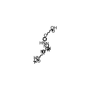 CC(C)(C)OC(=O)NCCCn1cc(-n2nnc3cnc(Nc4ccc(OCCCCC(=O)O)cc4)nc32)cn1